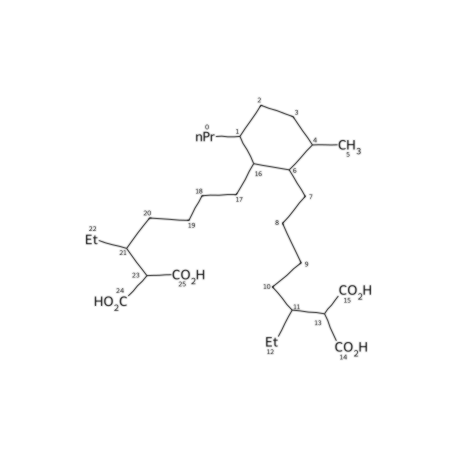 CCCC1CCC(C)C(CCCCC(CC)C(C(=O)O)C(=O)O)C1CCCCC(CC)C(C(=O)O)C(=O)O